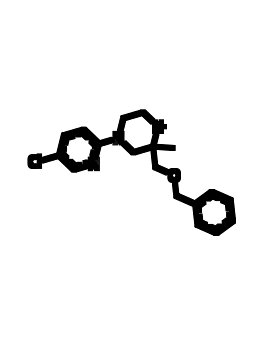 CC1(COCc2ccccc2)CN(c2ccc(Cl)cn2)CC[N]1